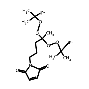 CC(C)C(C)(C)OOC(C)(CCCN1C(=O)C=CC1=O)OOC(C)(C)C(C)C